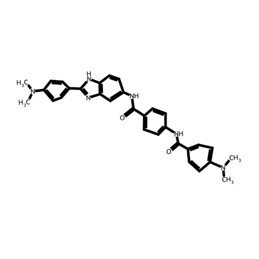 CN(C)c1ccc(C(=O)Nc2ccc(C(=O)Nc3ccc4[nH]c(-c5ccc(N(C)C)cc5)nc4c3)cc2)cc1